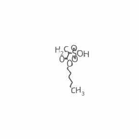 C=C(C(=O)OCCCCCC)S(=O)(=O)O